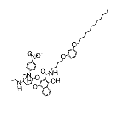 CCCCCCCCCCCCOc1cccc(OCCCCNC(=O)c2cc(OC(CC(=O)NCC)C(=O)Nc3ccc([N+](=O)[O-])cc3)c3ccccc3c2O)c1